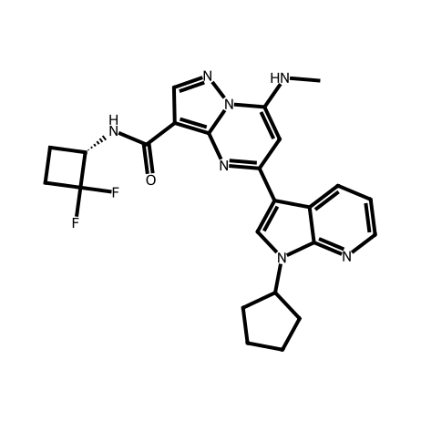 CNc1cc(-c2cn(C3CCCC3)c3ncccc23)nc2c(C(=O)N[C@H]3CCC3(F)F)cnn12